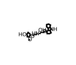 COc1cc(O)ccc1OCCNCC(O)COc1cccc2[nH]c3ccccc3c12